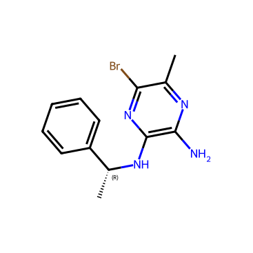 Cc1nc(N)c(N[C@H](C)c2ccccc2)nc1Br